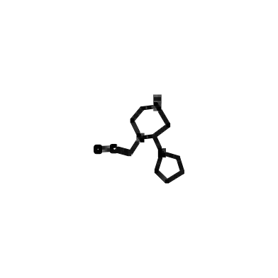 O=C=CN1CCNCC1N1CCCC1